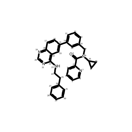 O=C(c1ccccn1)N(Cc1cccc(-c2ccc3ncnc(NCCc4ccccc4)c3c2)c1)C1CC1